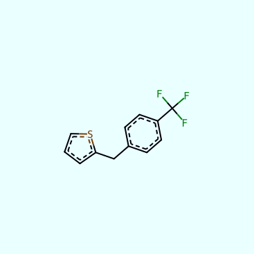 FC(F)(F)c1ccc(Cc2cccs2)cc1